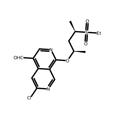 CCS(=O)(=O)[C@H](C)C[C@@H](C)Oc1ncc(C=O)c2cc(Cl)ncc12